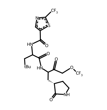 CC(C)(C)CC(NC(=O)c1cnc(C(F)(F)F)s1)C(=O)NC(C[C@@H]1CCNC1=O)C(=O)COC(F)(F)F